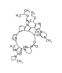 CO[C@@H](C)c1ncc(N2CCN(C)CC2)cc1-c1c2c3cc(ccc3n1CCOC(C)C)-c1csc(n1)[C@@H](C)[C@H](NC(=O)N1CC[C@H]1C)C(=O)N1CCC[C@H](N1)C(=O)OCC(C)(C)C2